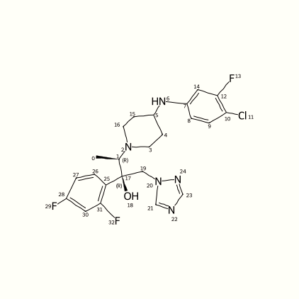 C[C@@H](N1CCC(Nc2ccc(Cl)c(F)c2)CC1)[C@](O)(Cn1cncn1)c1ccc(F)cc1F